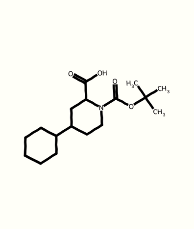 CC(C)(C)OC(=O)N1CCC(C2CCCCC2)CC1C(=O)O